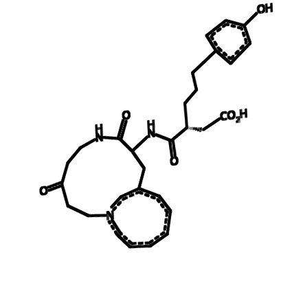 O=C(O)C[C@@H](CCCc1ccc(O)cc1)C(=O)NC1Cc2ccccccn(c2)CCC(=O)CCNC1=O